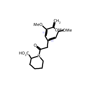 C=C(OC)/C(=C\C(=C/COC)CC(=O)N1CCCCC1C(=O)O)OC